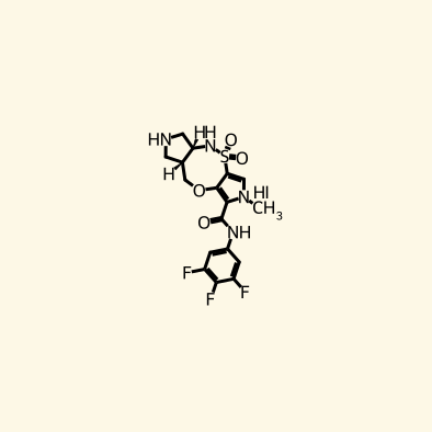 Cn1cc2c(c1C(=O)Nc1cc(F)c(F)c(F)c1)OC[C@@H]1CNC[C@@H]1NS2(=O)=O.I